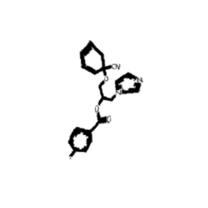 N#CC1(OCC(Cn2ccnc2)OC(=O)c2ccc(I)cc2)C=CC=CC1